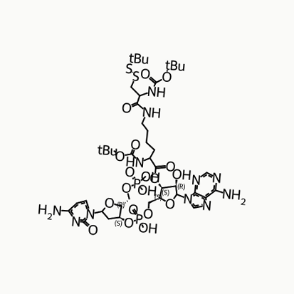 CC(C)(C)OC(=O)NC(CSSC(C)(C)C)C(=O)NCCCCC(NC(=O)OC(C)(C)C)C(=O)O[C@@H]1[C@H](COP(=O)(O)O[C@H]2CC(n3ccc(N)nc3=O)O[C@@H]2COP(=O)(O)O)OC(n2cnc3c(N)ncnc32)[C@@H]1O